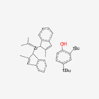 CC(C)(C)c1ccc(O)c(C(C)(C)C)c1.CC1=Cc2ccccc2[CH]1[Zr](=[C](C)C)[CH]1C(C)=Cc2ccccc21